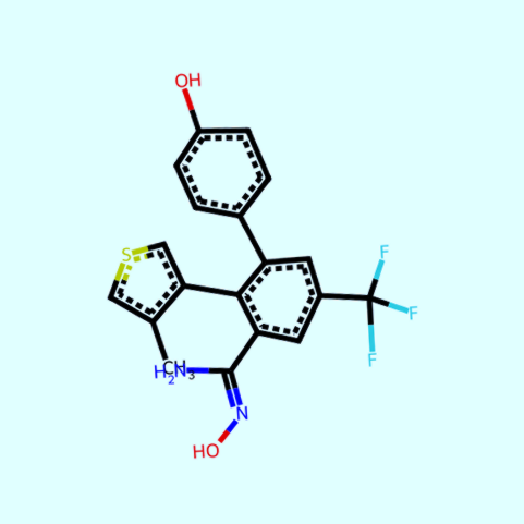 Cc1cscc1-c1c(/C(N)=N/O)cc(C(F)(F)F)cc1-c1ccc(O)cc1